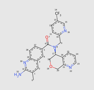 Cc1cc2cc(C(=O)N(Cc3ccc(C(F)(F)F)cn3)[C@@H]3COCc4ncccc43)ccc2nc1N